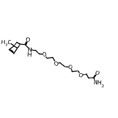 CC12C=CC1C(C(=O)NCCOCCOCCOCCOCCC(N)=O)C2